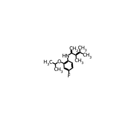 C=C(Nc1ccc(F)cc1OC(C)C)C(C)=C(C)C